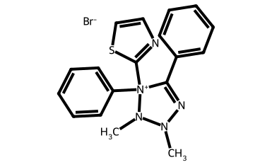 CN1N=C(c2ccccc2)[N+](c2ccccc2)(c2nccs2)N1C.[Br-]